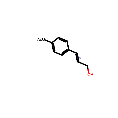 CC(=O)Oc1ccc(/C=C/CO)cc1